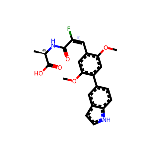 COc1cc(-c2ccc3[nH]ccc3c2)c(OC)cc1/C=C(/F)C(=O)N[C@H](C)C(=O)O